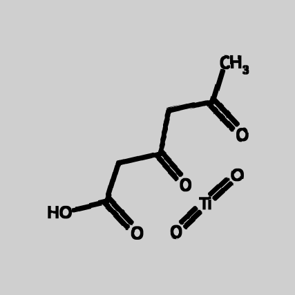 CC(=O)CC(=O)CC(=O)O.[O]=[Ti]=[O]